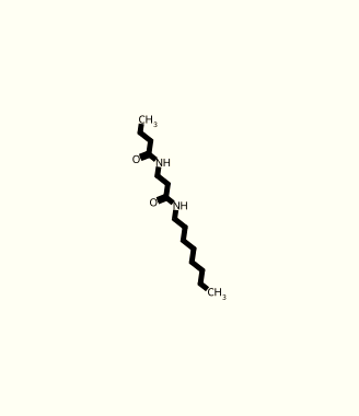 CCCCCCCCNC(=O)CCNC(=O)CCC